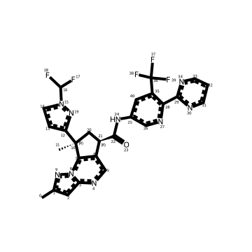 Cc1cc2ncc3c(n2n1)[C@@](C)(c1ccn(C(F)F)n1)C[C@H]3C(=O)Nc1cnc(-c2ncccn2)c(C(F)(F)F)c1